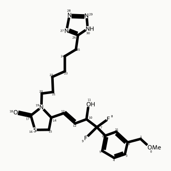 COCc1cccc(C(F)(F)C(O)C=CC2CSC(=O)N2CCCCCCc2nnn[nH]2)c1